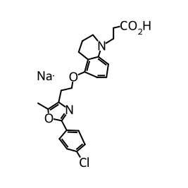 Cc1oc(-c2ccc(Cl)cc2)nc1CCOc1cccc2c1CCCN2CCC(=O)O.[Na]